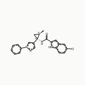 C[C@@H]1C[C@]1(NC(=O)c1cc2cc(Cl)ccc2[nH]1)c1cnn(-c2ccccc2)c1